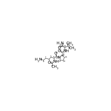 CC(=O)NC(CCCCN)C(=O)N1CCC[C@H]1C(=O)NC(C(N)=O)C(C)C